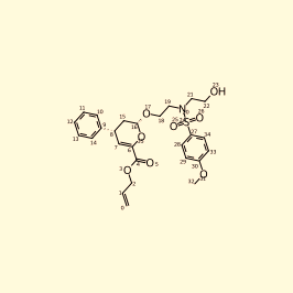 C=CCOC(=O)C1=C[C@H](c2ccccc2)C[C@H](OCCN(CCO)S(=O)(=O)c2ccc(OC)cc2)O1